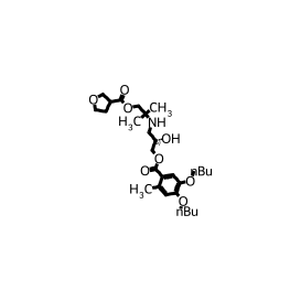 CCCCOc1cc(C)c(C(=O)OC[C@@H](O)CNC(C)(C)COC(=O)C2CCOC2)cc1OCCCC